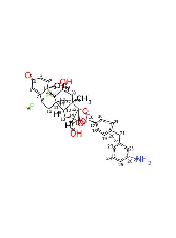 C[C@]12C=CC(=O)C=C1[C@@H](F)C[C@H]1[C@@H]3C[C@H]4O[C@H](c5ccc(Cc6cccc(N)c6)cc5)O[C@@]4(C(=O)CO)[C@@]3(C)C[C@H](O)[C@@]12F